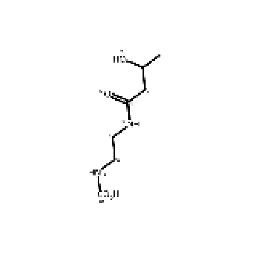 CC(O)CC(=O)NCCNC(=O)O